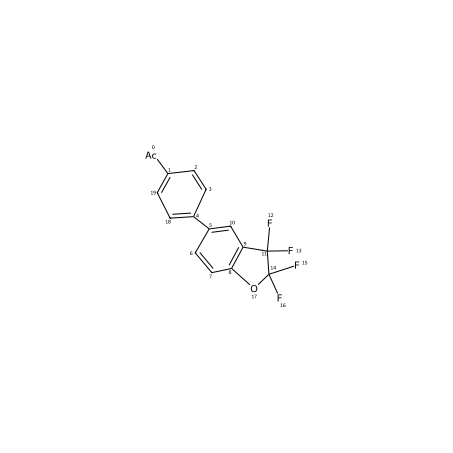 CC(=O)c1ccc(-c2ccc3c(c2)C(F)(F)C(F)(F)O3)cc1